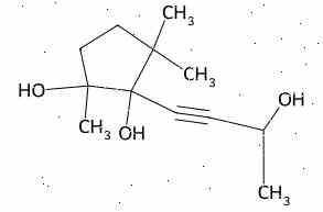 CC(O)C#CC1(O)C(C)(C)CCC1(C)O